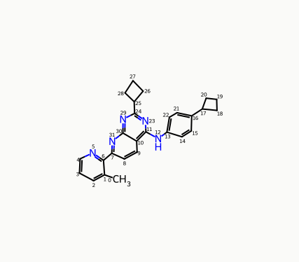 Cc1cccnc1-c1ccc2c(Nc3ccc(C4CCC4)cc3)nc(C3CCC3)nc2n1